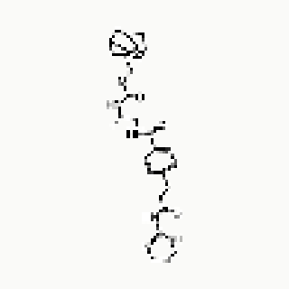 C[C@@H](CNC(=O)c1ccc(CCC(=O)NC2=NCCCN2)cc1)NC(=O)OCC12CC3CC(CC(C3)C1)C2